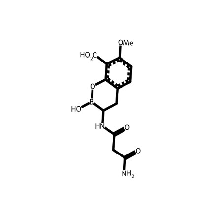 COc1ccc2c(c1C(=O)O)OB(O)C(NC(=O)CC(N)=O)C2